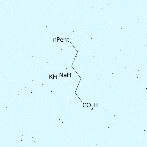 CCCCCCCCCC(=O)O.[KH].[NaH]